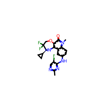 Cc1ncc(F)c(Nc2ccc3c(c2)c2c(c(=O)n3C)OCC(F)(F)[C@H](C3CC3)N2)n1